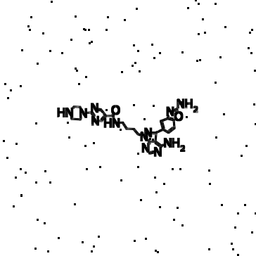 Nc1nc2cc(-c3nn(CCCCNC(=O)c4cnc(N5CCNCC5)nc4)c4ncnc(N)c34)ccc2o1